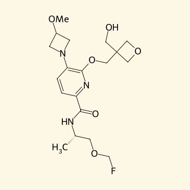 COC1CN(c2ccc(C(=O)N[C@@H](C)COCF)nc2OCC2(CO)COC2)C1